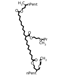 C=C=C=C=CC(CCCCC)CCOC(=O)CCCCCCCCCC(CCCCCCCCCC(=O)OCCC(C)CCCCC)C(=O)OCCCN(C)C(C)C